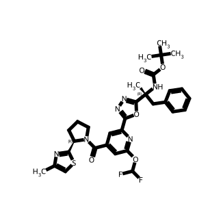 Cc1csc([C@H]2CCCN2C(=O)c2cc(OC(F)F)nc(-c3nnc([C@@](C)(Cc4ccccc4)NC(=O)OC(C)(C)C)o3)c2)n1